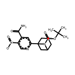 CC(C)(C)OC(=O)N1C2CNCC1(c1cc(C(N)=O)c([N+](=O)[O-])cn1)C2